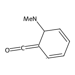 CNC1C=CC=[C]C1=C=O